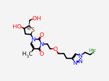 Cc1cn(C2CC(O)[C@@H](CO)S2)c(=O)n(CCOCCCc2cn(CC[18F])nn2)c1=O